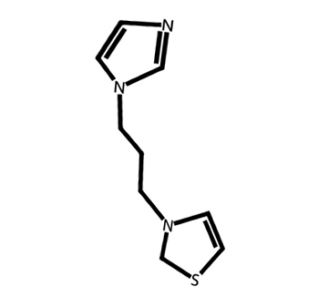 C1=CN(CCCn2ccnc2)CS1